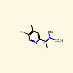 Cc1cc([C@H](C)N(C(=O)O)C(C)(C)C)ncc1Br